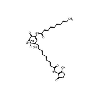 C/C=C/C=C/C=C/C=C/C(=O)NC1=C[C@@](O)(/C=C/C=C/C=C/C=C/C(=O)NC2=C(O)CCC2=O)[C@@H]2O[C@@H]2C1=O